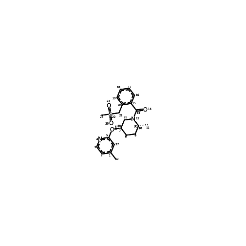 Cc1ccnc(O[C@@H]2CC[C@@H](C)N(C(=O)c3ccccc3CS(C)(=O)=O)C2)c1